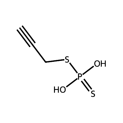 C#CCSP(O)(O)=S